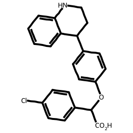 O=C(O)C(Oc1ccc(C2CCNc3ccccc32)cc1)c1ccc(Cl)cc1